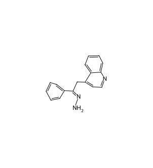 NN=C(Cc1ccnc2ccccc12)c1ccccc1